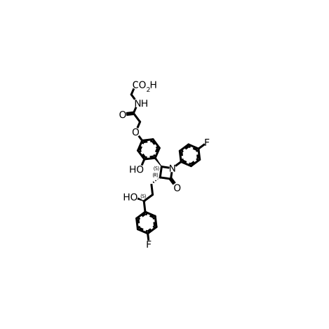 O=C(O)CNC(=O)COc1ccc([C@@H]2[C@@H](CC[C@H](O)c3ccc(F)cc3)C(=O)N2c2ccc(F)cc2)c(O)c1